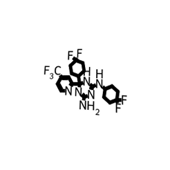 NC1=NC(c2cc(C(F)(F)F)ccn2)(C2CCC(F)(F)CC2)NC(NC2CCC(F)(F)CC2)=N1